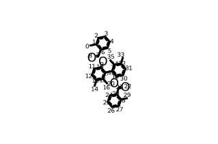 Cc1ccccc1C(=O)Oc1ccc(C)c(C)c1-c1c(OC(=O)c2ccccc2C)ccc(C)c1C